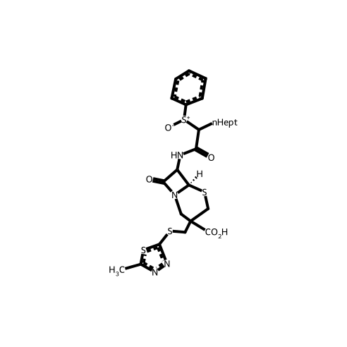 CCCCCCCC(C(=O)NC1C(=O)N2CC(CSc3nnc(C)s3)(C(=O)O)CS[C@H]12)[S+]([O-])c1ccccc1